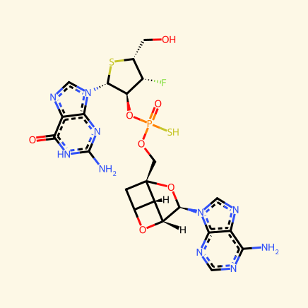 Nc1nc2c(ncn2[C@@H]2S[C@H](CO)[C@H](F)[C@H]2OP(=O)(S)OC[C@@]23CC4O[C@@H]([C@H](n5cnc6c(N)ncnc65)O2)[C@H]43)c(=O)[nH]1